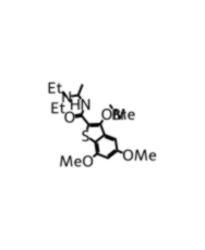 CBr.CCN(CC)C(C)NC(=O)c1sc2c(OC)cc(OC)cc2c1OC